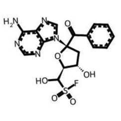 Nc1ncnc2c1ncn2[C@@]1(C(=O)c2ccccc2)C[C@H](O)[C@@H](C(O)S(=O)(=O)F)O1